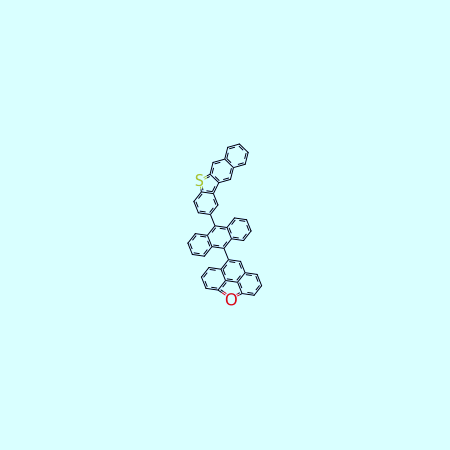 c1ccc2cc3c(cc2c1)sc1ccc(-c2c4ccccc4c(-c4cc5cccc6oc7cccc4c7c56)c4ccccc24)cc13